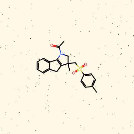 CC(=O)N1CC(C)(CS(=O)(=O)c2ccc(C)cc2)C2=C1c1ccccc1C2